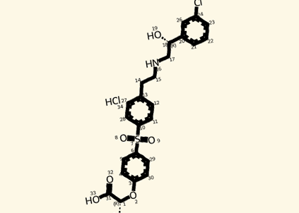 C[C@@H](Oc1ccc(S(=O)(=O)c2ccc(CCNC[C@H](O)c3cccc(Cl)c3)cc2)cc1)C(=O)O.Cl